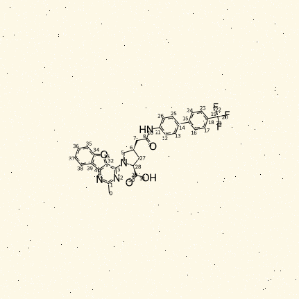 Cc1nc(N2C[C@@H](CC(=O)Nc3ccc(-c4ccc(C(F)(F)F)cc4)cc3)C[C@H]2C(=O)O)c2oc3ccccc3c2n1